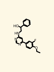 CCOc1ccc(-c2cc(NCC(O)c3ccccc3)ncn2)cc1F